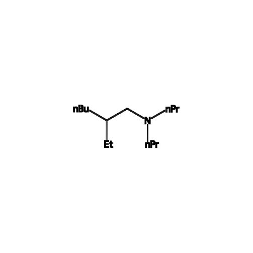 CCCCC(CC)CN(CCC)CCC